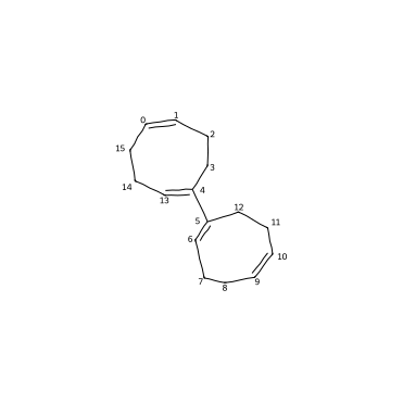 C1=CCCC(C2=CCCC=CCC2)=CCC1